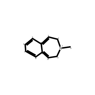 CN1CC=c2ccccc2=CC1